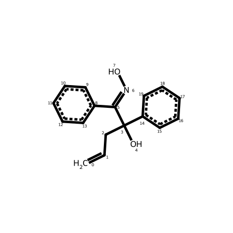 C=CCC(O)(C(=NO)c1ccccc1)c1ccccc1